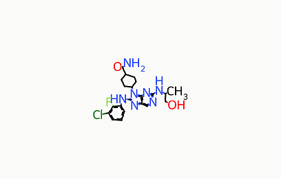 CC(CO)Nc1ncc2nc(Nc3cccc(Cl)c3F)n(C3CCC(C(N)=O)CC3)c2n1